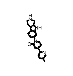 Cc1ccc(-c2ccn(-c3ccc4c5c([nH]c4c3)CNCC5)c(=O)c2)nc1